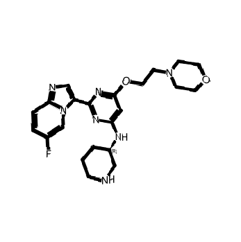 Fc1ccc2ncc(-c3nc(N[C@@H]4CCCNC4)cc(OCCN4CCOCC4)n3)n2c1